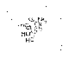 Cl.Nc1nc(=O)n([C@@H]2O[C@H](CO)[C@@H](O)[C@H]2Cl)cc1Cl